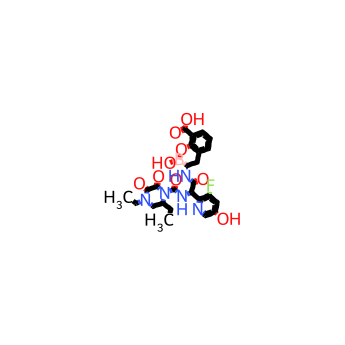 CCC1CN(CC)C(=O)C(=O)N1C(=O)NC(C(=O)N[C@H]1Cc2cccc(C(=O)O)c2OB1O)c1ncc(O)cc1F